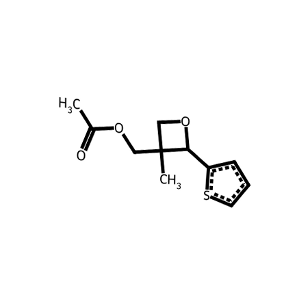 CC(=O)OCC1(C)COC1c1cccs1